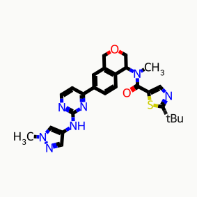 CN(C(=O)c1cnc(C(C)(C)C)s1)C1COCc2cc(-c3ccnc(Nc4cnn(C)c4)n3)ccc21